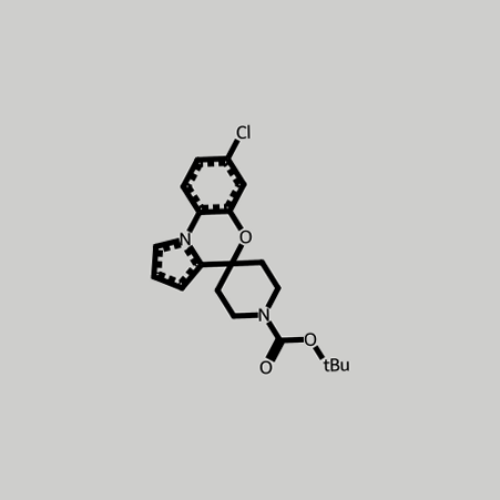 CC(C)(C)OC(=O)N1CCC2(CC1)Oc1cc(Cl)ccc1-n1cccc12